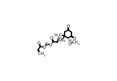 C=CC(=O)OOOC(=O)C=C.CC1(C)CC(=O)CC(=O)C1.CO